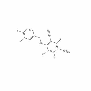 N#Cc1c(F)c(Cl)c(NCc2ccc(F)c(F)c2)c(C#N)c1F